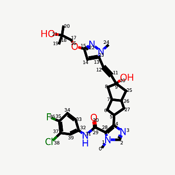 Cn1cnc(C2CC3CC(O)(C#Cc4cc(OCC(C)(C)O)nn4C)CC3C2)c1C(=O)Nc1ccc(F)c(Cl)c1